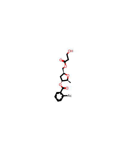 CC(=O)c1ccccc1C(=O)O[C@@H]1C[C@@H](COC(=O)CCO)O[C@H]1C